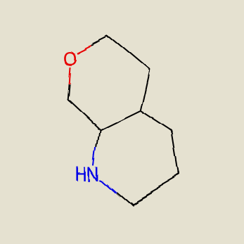 C1CNC2COCCC2C1